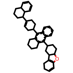 C1=CC2CCCC(C3=CCC(c4c5c(c(C6CCC7OC8=C(CCC=C8)C7C6)c6ccccc46)CCCC5)CC3)C2C=C1